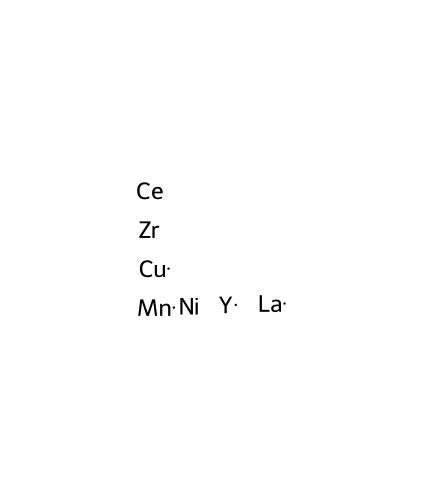 [Ce].[Cu].[La].[Mn].[Ni].[Y].[Zr]